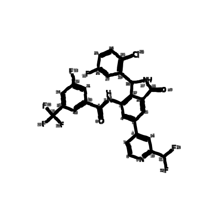 O=C(Nc1cc(-c2ccnc(C(F)F)c2)cc2c1C(c1cc(F)ccc1Cl)NC2=O)c1cc(F)cc(C(F)(F)F)c1